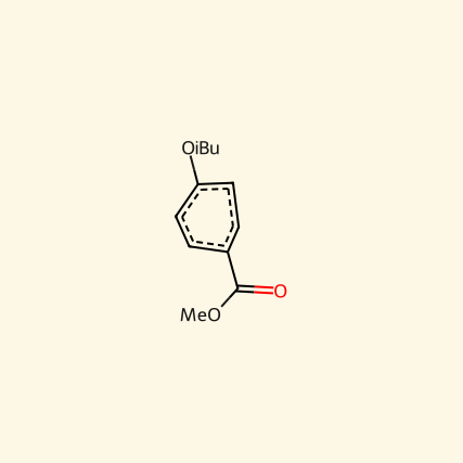 COC(=O)c1ccc(OCC(C)C)cc1